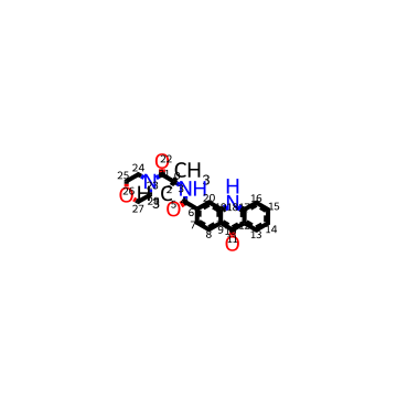 CC(C)(NC(=O)c1ccc2c(=O)c3ccccc3[nH]c2c1)C(=O)N1CCOCC1